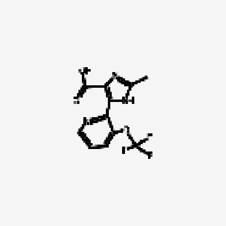 Cc1nc(C(=O)O)c(-c2ncccc2OC(F)(F)F)[nH]1